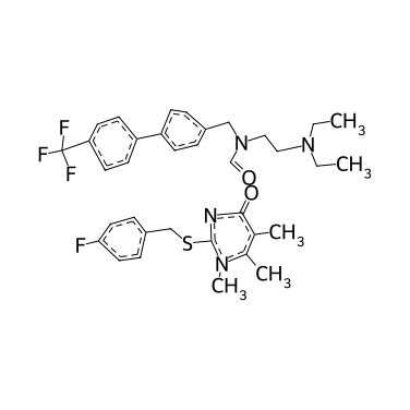 CCN(CC)CCN(C=O)Cc1ccc(-c2ccc(C(F)(F)F)cc2)cc1.Cc1c(C)n(C)c(SCc2ccc(F)cc2)nc1=O